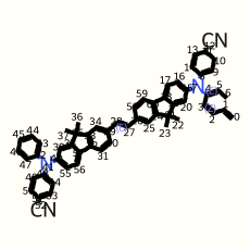 C=C/C=C\C(=C/C)N(C1=CCC(C#N)C=C1)c1ccc2c(c1)C(C)(C)c1cc(/C=C/c3ccc4c(c3)C(C)(C)c3cc(N(c5ccccc5)c5ccc(C#N)cc5)ccc3-4)ccc1-2